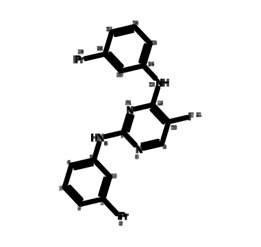 CC(C)c1cccc(Nc2ncc(F)c(Nc3cccc(C(C)C)c3)n2)c1